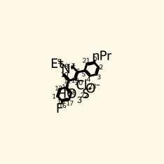 CCCc1cccc(-c2c[n+](CC)cc(-c3ccc(F)cc3)c2Cl)c1.O=S(=O)([O-])O